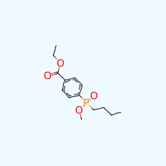 CCCCP(=O)(OC)c1ccc(C(=O)OCC)cc1